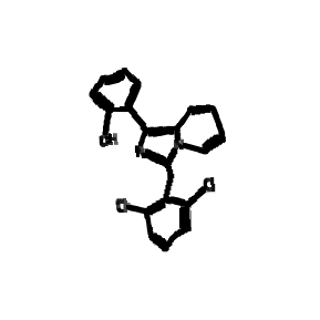 Oc1ccccc1-c1nc(-c2c(Cl)cccc2Cl)n2ccccc12